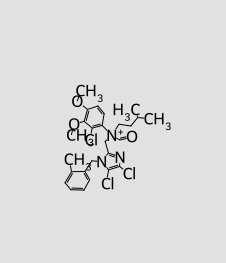 COc1ccc([N+](C=O)(CCC(C)C)Cc2nc(Cl)c(Cl)n2Cc2ccccc2C)c(Cl)c1OC